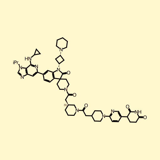 CC(C)n1cnc2cc(-c3ccc4c(c3)N([C@H]3C[C@@H](N5CCCCC5)C3)C(=O)C43CCN(C(=O)C[C@@H]4CCCN(C(=O)CC5CCN(c6ccc(C7CCC(=O)NC7=O)cn6)CC5)C4)CC3)nc(NC3CC3)c21